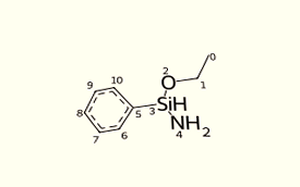 CCO[SiH](N)c1ccccc1